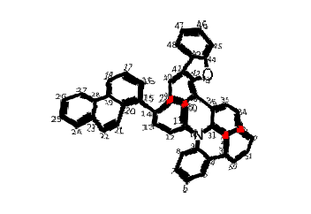 c1ccc(-c2ccccc2N(c2ccc(-c3cccc4c3ccc3ccccc34)cc2)c2ccccc2-c2cccc3c2oc2ccccc23)cc1